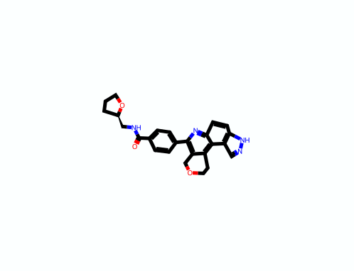 O=C(NC[C@H]1CCCO1)c1ccc(-c2nc3ccc4[nH]ncc4c3c3c2COCC3)cc1